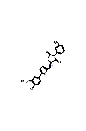 O=C(O)c1cc(-c2ccc(/C=C3\SC(=S)N(c4cccc([N+](=O)[O-])c4)C3=O)o2)ccc1Cl